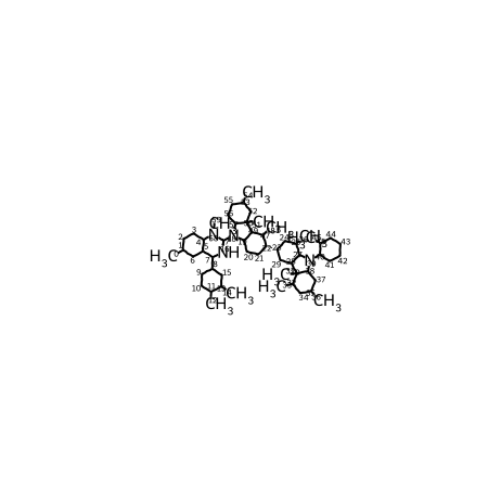 CC1CCC2C(C1)C(C1CCC(C)C(C)C1)NC(N1C3CCC([C@@H]4CC(C)C5C(C4)C4(C)C(C)CC(C)CC4N5C4CCCCC4C)C(C)C3C3(C)CC(C)CCC13)N2C